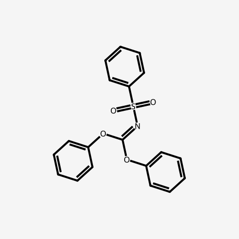 O=S(=O)(N=C(Oc1ccccc1)Oc1ccccc1)c1ccccc1